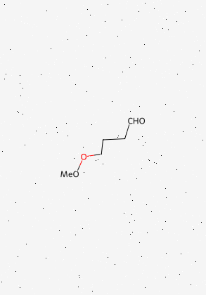 COOCCCC=O